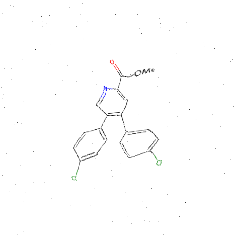 COC(=O)c1cc(-c2ccc(Cl)cc2)c(-c2ccc(Cl)cc2)cn1